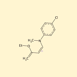 C=C(/C=C\N(C)c1ccc(Cl)cc1)OCC